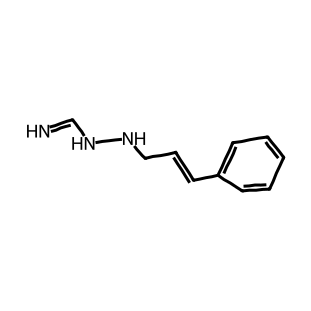 N=CNNC/C=C/c1ccccc1